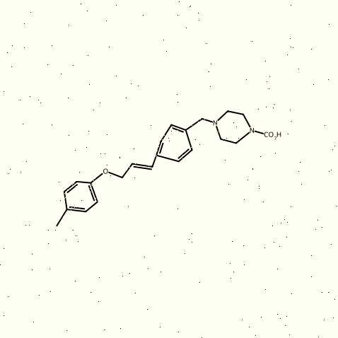 Cc1ccc(OCC=Cc2ccc(CN3CCN(C(=O)O)CC3)cc2)cc1